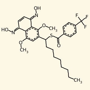 CCCCCCCCC(SC(=O)c1ccc(C(F)(F)F)cc1)c1cc(OC)c2c(c1OC)C(=NO)C=CC2=NO